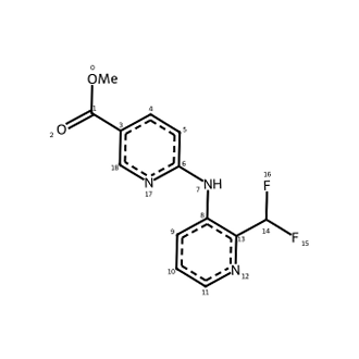 COC(=O)c1ccc(Nc2cccnc2C(F)F)nc1